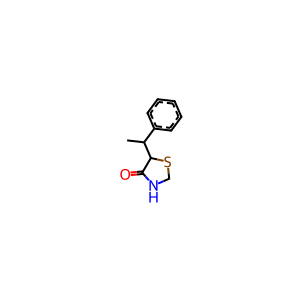 CC(c1ccccc1)C1SCNC1=O